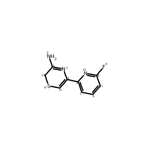 NC1=NC(c2cccc(F)n2)=CSC1